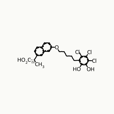 C[C@H](C(=O)O)c1ccc2ccc(OCCCCCc3c(O)c(O)c(Cl)c(Cl)c3Cl)cc2c1